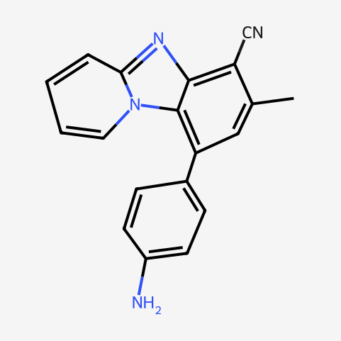 Cc1cc(-c2ccc(N)cc2)c2c(nc3ccccn32)c1C#N